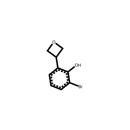 Oc1c(Br)cccc1C1COC1